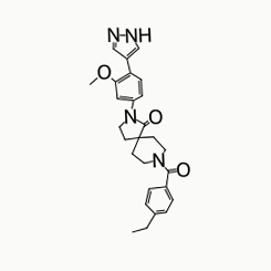 CCc1ccc(C(=O)N2CCC3(CC2)CCN(c2ccc(-c4cn[nH]c4)c(OC)c2)C3=O)cc1